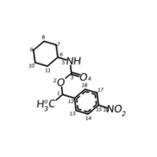 CC(OC(=O)NC1CCCCC1)c1ccc([N+](=O)[O-])cc1